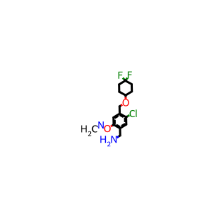 C=NOc1cc(COC2CCC(F)(F)CC2)c(Cl)cc1CN